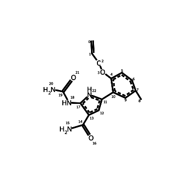 C=CCOc1ccc(C)cc1-c1cc(C(N)=O)c(NC(N)=O)[nH]1